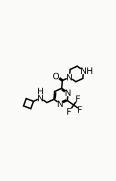 O=C(c1cc(CNC2CCC2)nc(C(F)(F)F)n1)N1CCNCC1